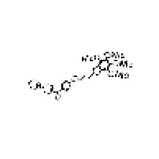 COc1c2c(c(OC)c(OC)c1OC)CC(CCCOc1ccc(C(=O)N3CCC(N4CCCCC4)CC3)cc1)C2